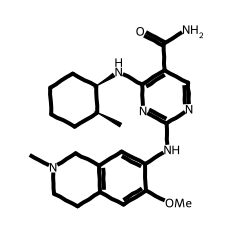 COc1cc2c(cc1Nc1ncc(C(N)=O)c(N[C@@H]3CCCC[C@@H]3C)n1)CN(C)CC2